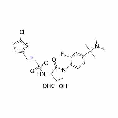 CN(C)C(C)(C)c1ccc(N2CCC(NS(=O)(=O)/C=C/c3ccc(Cl)s3)C2=O)c(F)c1.O=CO